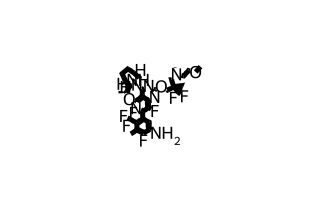 COCCN(C)CC1(COc2nc3c4c(nc(-c5cc(N)c(F)c(C)c5C(F)(F)F)c(F)c4n2)O[C@@H](C)[C@@H]2[C@@H]4CC[C@H](CN32)N4)CC1(F)F